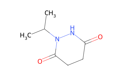 CC(C)N1NC(=O)CCC1=O